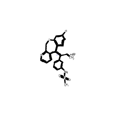 Br.CC/C(=C1\c2ccc(Cl)cc2OCc2ncccc21)c1cccc(NS(C)(=O)=O)c1